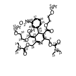 CCCOCCOC(=O)C1=C(COC(=O)N(C)C)N=C(COC(=O)N(C)C)C(=C(O)OCCOCCC)C1c1cccc([N+](=O)[O-])c1